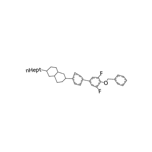 CCCCCCCC1CCC2CC(c3ccc(-c4cc(F)c(OCc5ccccc5)c(F)c4)cc3)CCC2C1